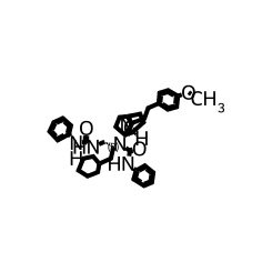 COc1ccc(CCN2[C@@H]3CCC24CCC3(N(C(=O)Nc2ccccc2)[C@@H](CNC(=O)Nc2ccccc2)CC2CCCCC2)CC4)cc1